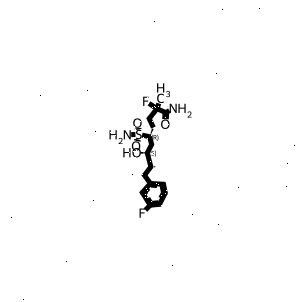 CC(F)(CC[C@H](C[C@@H](O)[CH]Cc1cccc(F)c1)S(N)(=O)=O)C(N)=O